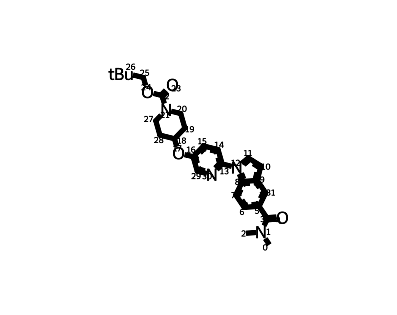 CN(C)C(=O)c1ccc2c(ccn2-c2ccc(OC3CCN(C(=O)OCC(C)(C)C)CC3)cn2)c1